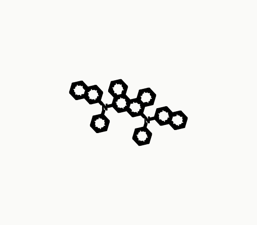 c1ccc(N(c2ccc3ccccc3c2)c2cc3cc(N(c4ccccc4)c4ccc5ccccc5c4)c4ccccc4c3c3ccccc23)cc1